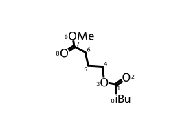 CCC(C)C(=O)OCCCC(=O)OC